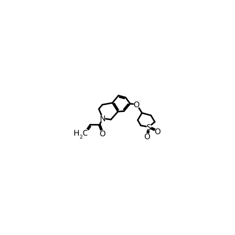 C=CC(=O)N1CCc2ccc(OC3CCS(=O)(=O)CC3)cc2C1